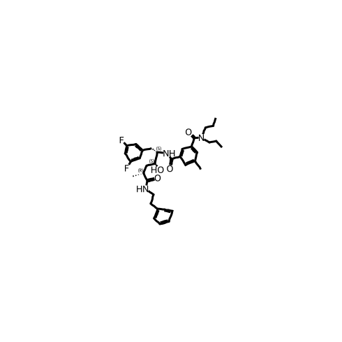 CCCN(CCC)C(=O)c1cc(C)cc(C(=O)N[C@@H](Cc2cc(F)cc(F)c2)[C@@H](O)C[C@@H](C)C(=O)NCCc2ccccc2)c1